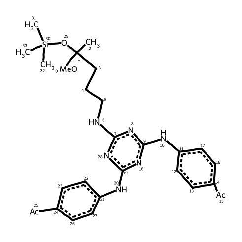 COC(C)(CCCNc1nc(Nc2ccc(C(C)=O)cc2)nc(Nc2ccc(C(C)=O)cc2)n1)O[Si](C)(C)C